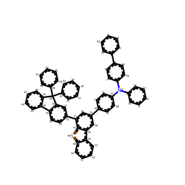 c1ccc(-c2ccc(N(c3ccccc3)c3ccc(-c4cc(-c5ccc6c(c5)C(c5ccccc5)(c5ccccc5)c5ccccc5-6)c5sc6ccccc6c5c4)cc3)cc2)cc1